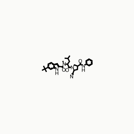 CC(C)CC(C(=O)N1CC(C(=O)Nc2ccccc2)CC1C#N)N(C)C(=O)c1cc2ccc(C(C)(C)C)cc2[nH]1